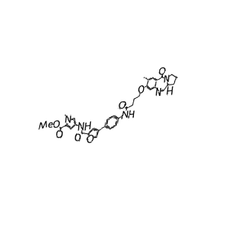 COC(=O)c1cc(NC(=O)c2cc(-c3ccc(NC(=O)CCCOc4cc5c(cc4C)C(=O)N4CCC[C@H]4C=N5)cc3)co2)cn1C